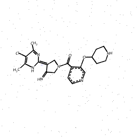 CC1=N/C(=C2\CN(C(=O)c3ccncc3OC3CCNCC3)CC2=N)NC(C)=C1Cl